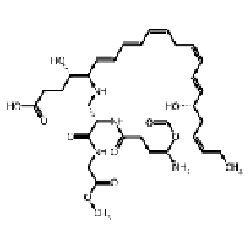 CC/C=C\C[C@H](O)/C=C/C=C\C\C=C/C=C/C=C/[C@@H](NC[C@H](NC(=O)CC[C@H](N)OC=O)C(=O)NCC(=O)OC)[C@@H](O)CCC(=O)O